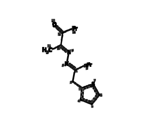 CCC/C(Cc1cccs1)=N\N=C(/C)C(=O)C(C)C